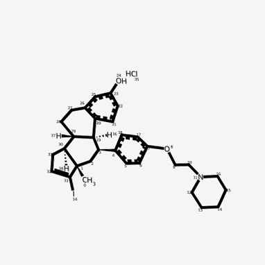 C[C@]12C[C@H](c3ccc(OCCN4CCCCC4)cc3)[C@@H]3c4ccc(O)cc4CC[C@H]3[C@@H]1CC=C2I.Cl